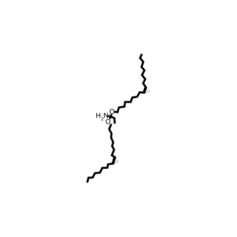 CCCCCCCC/C=C\CCCCCCCCOC(N)(CC)OCCCCCCCC/C=C\CCCCCCCC